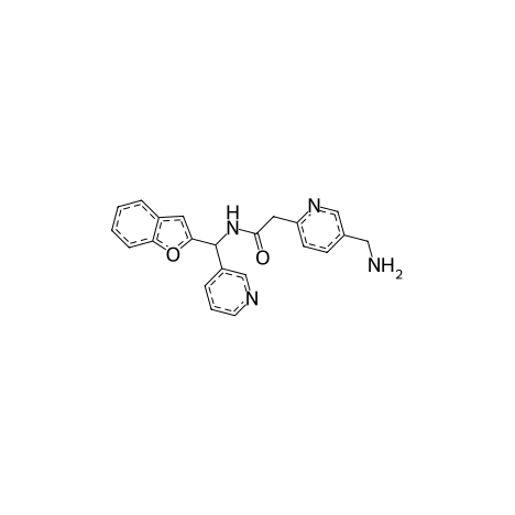 NCc1ccc(CC(=O)NC(c2cccnc2)c2cc3ccccc3o2)nc1